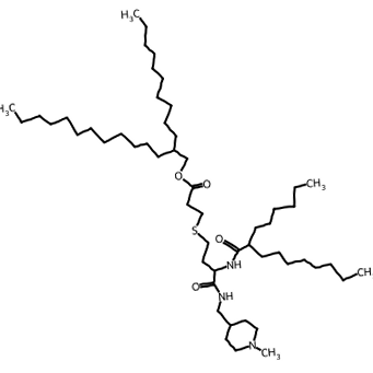 CCCCCCCCCCCCC(CCCCCCCCCC)COC(=O)CCSCCC(NC(=O)C(CCCCCC)CCCCCCCC)C(=O)NCC1CCN(C)CC1